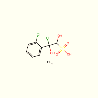 C.O=S(=O)(O)C(O)C(O)(Cl)c1ccccc1Cl